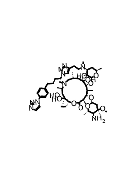 CC[C@H]1OC(=O)[C@H](C)[C@@H](O[C@H]2C[C@@](C)(OC)[C@@H](N)[C@H](C)O2)[C@H](C)[C@@H](O[C@@H]2O[C@H](C)C[C@H](N(C)CCc3cn(CCCCc4ccc(-n5ccnn5)cc4)nn3)[C@H]2O)[C@](C)(O)C[C@@H](C)CN(C)[C@H](C)[C@@H](O)[C@]1(C)O